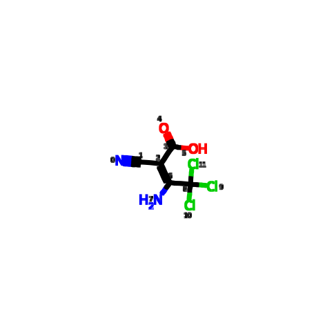 N#CC(C(=O)O)=C(N)C(Cl)(Cl)Cl